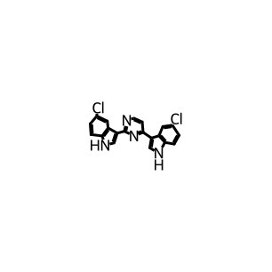 Clc1ccc2[nH]cc(-c3ccnc(-c4c[nH]c5ccc(Cl)cc45)n3)c2c1